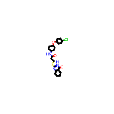 O=C(CCSc1nc2ccccc2c(=O)[nH]1)NC1CCC(Oc2ccc(Cl)cc2)CC1